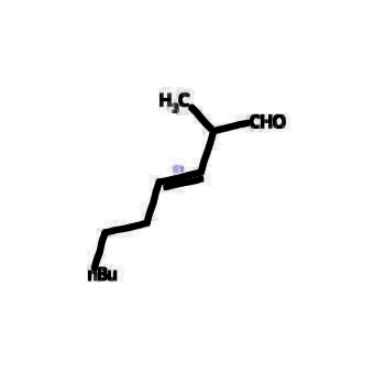 CCCCCC/C=C/C(C)C=O